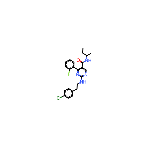 CCC(C)NC(=O)c1cnc(NCCc2ccc(Cl)cc2)nc1-c1ccccc1F